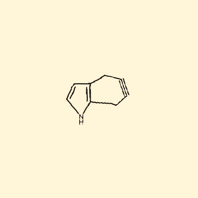 C1#CCc2[nH]ccc2C1